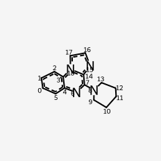 c1ccc2c(c1)nc(N1CCCCC1)c1nccn12